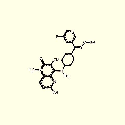 CN(c1c(C#N)c(=O)n(C)c2ccc(C#N)nc12)C1CCC(/C(=N/OC(C)(C)C)c2cncc(F)c2)CC1